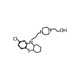 OCCN1CCN(CCCN2c3cc(Cl)ccc3SC3CCCCC32)CC1